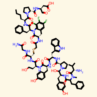 CCCC[C@@H](C(=O)N1CCC[C@@H]1C(=O)N[C@H](C=O)CC(=O)O)N(C)C(=O)[C@H](Cc1ccccc1)N(C)C(=O)[C@H](Cc1cc(F)c(F)c(F)c1)NC(=O)CSC[C@H](NC(=O)[C@H](CCO)NC(=O)[C@H](Cc1ccc(O)cc1)NC(=O)[C@H](Cc1c[nH]c2ccccc12)NC(=O)[C@H]1CCCN1C(O)[C@H](Cc1ccc(O)cc1)NC(=O)C(Cc1ccccc1)N(C)C(=O)[C@@H](N)C(C)C)C(=O)NCC(N)=O